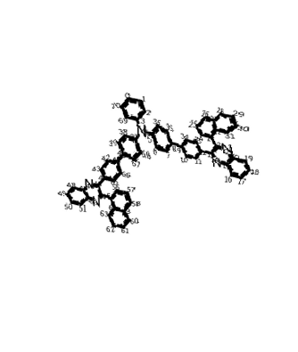 c1ccc(N(c2ccc(-c3ccc(-c4nc5ccccc5nc4-c4cccc5ccccc45)cc3)cc2)c2ccc(-c3ccc(-c4nc5ccccc5nc4-c4cccc5ccccc45)cc3)cc2)cc1